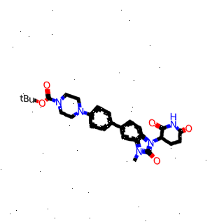 Cn1c(=O)n(C2CCC(=O)NC2=O)c2ccc(-c3ccc(N4CCN(C(=O)OC(C)(C)C)CC4)cc3)cc21